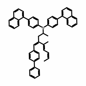 C\C=C/C=C(C)/C(=C\c1ccc(-c2ccccc2)cc1)CC(C)N(c1ccc(-c2cccc3ccccc23)cc1)c1ccc(-c2cccc3ccccc23)cc1